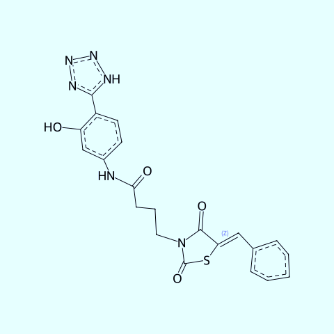 O=C(CCCN1C(=O)S/C(=C\c2ccccc2)C1=O)Nc1ccc(-c2nnn[nH]2)c(O)c1